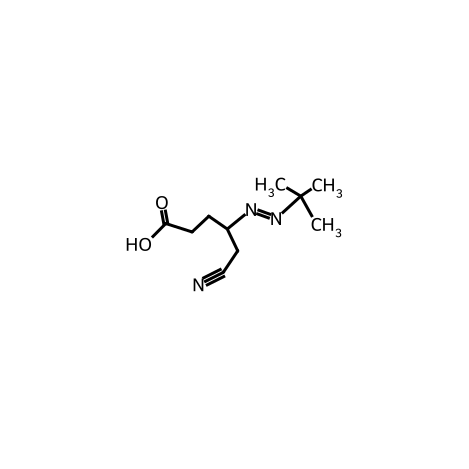 CC(C)(C)N=NC(CC#N)CCC(=O)O